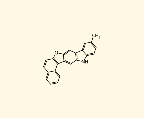 Cc1ccc2[nH]c3cc4c(cc3c2c1)oc1ccc2ccccc2c14